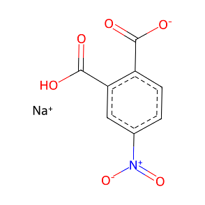 O=C([O-])c1ccc([N+](=O)[O-])cc1C(=O)O.[Na+]